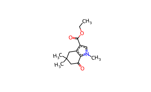 CCOC(=O)c1cn(C)c2c1CC(C)(C)CC2=O